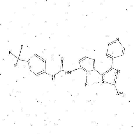 Nc1nc(-c2ccncc2)c(-c2cccc(NC(=O)Nc3ccc(C(F)(F)F)cc3)c2F)s1